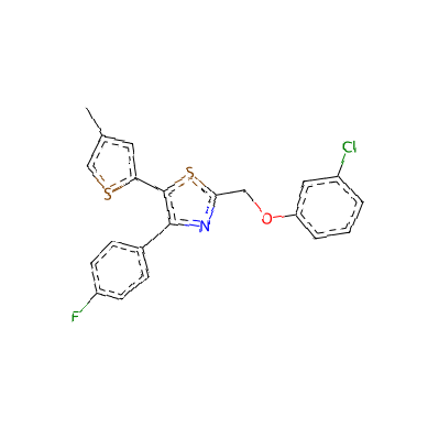 Cc1csc(-c2sc(COc3cccc(Cl)c3)nc2-c2ccc(F)cc2)c1